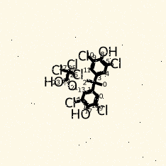 CC(C)(c1cc(Cl)c(O)c(Cl)c1)c1cc(Cl)c(O)c(Cl)c1.O=C(O)C(Cl)(Cl)Cl